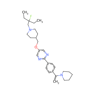 C=C(c1ccc(-c2ncc(OCC3CCN(CC(F)(CC)CC)CC3)cn2)cc1)N1CCCCC1